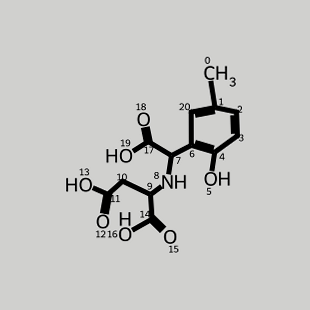 Cc1ccc(O)c(C(NC(CC(=O)O)C(=O)O)C(=O)O)c1